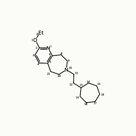 CCOc1ccc2c(n1)CCN(CCC1CCCCCC1)CC2